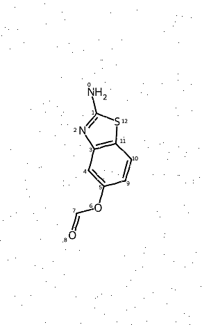 Nc1nc2cc(OC=O)ccc2s1